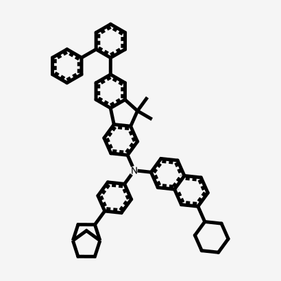 CC1(C)c2cc(-c3ccccc3-c3ccccc3)ccc2-c2ccc(N(c3ccc(C4CC5CCC4C5)cc3)c3ccc4ccc(C5CCCCC5)cc4c3)cc21